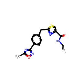 O=C(NCC(F)(F)F)c1csc(Cc2ccc(-c3noc(C(F)(F)F)n3)cc2)n1